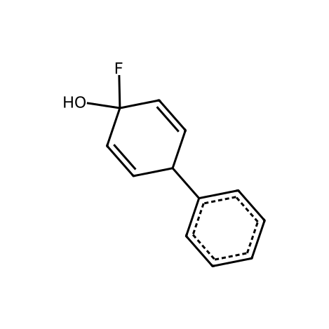 OC1(F)C=CC(c2ccccc2)C=C1